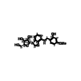 COc1ccc(CNc2ncnc3c2ncn3[C@@H]2O[C@H](CO)[C@@H](O)[C@H]2O)c(O)c1